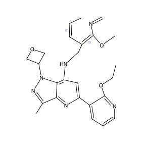 C=N/C(OC)=C(\C=C/C)CNc1cc(-c2cccnc2OCC)nc2c(C)nn(C3COC3)c12